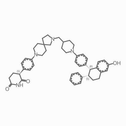 O=C1CC[C@@H](c2ccc(N3CCC4(CCN(CC5CCN(c6ccc([C@@H]7c8ccc(O)cc8CC[C@@H]7c7ccccc7)cc6)CC5)C4)CC3)cc2)C(=O)N1